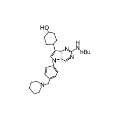 CCCCNc1ncc2c(n1)c(C1CCC(O)CC1)cn2-c1ccc(CN2CCCCC2)cc1